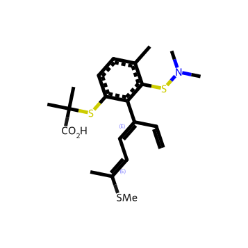 C=C/C(=C\C=C(/C)SC)c1c(SC(C)(C)C(=O)O)ccc(C)c1SN(C)C